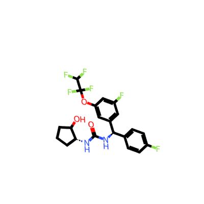 O=C(N[C@H](c1ccc(F)cc1)c1cc(F)cc(OC(F)(F)C(F)F)c1)N[C@@H]1CCCC1O